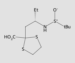 CC[C@@H](CC1(C(=O)O)SCCS1)N[S+]([O-])C(C)(C)C